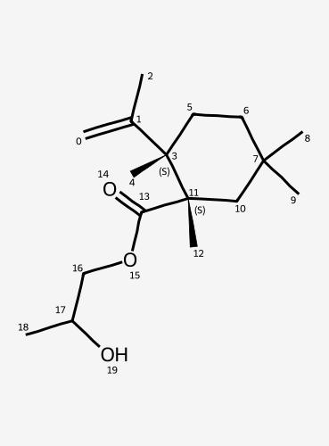 C=C(C)[C@]1(C)CCC(C)(C)C[C@]1(C)C(=O)OCC(C)O